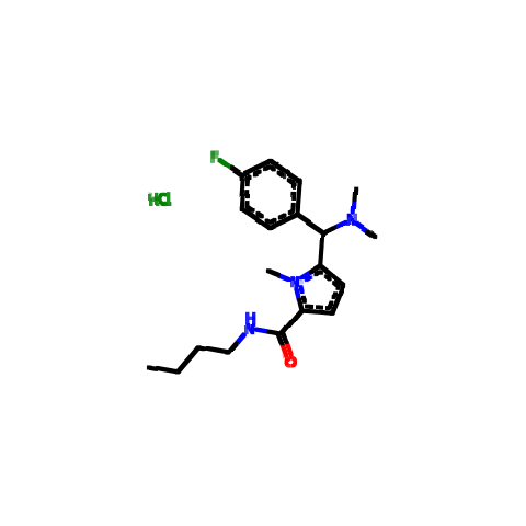 CCCCNC(=O)c1ccc(C(c2ccc(F)cc2)N(C)C)n1C.Cl